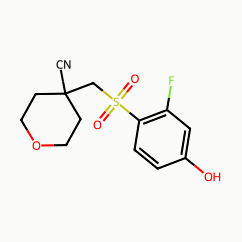 N#CC1(CS(=O)(=O)c2ccc(O)cc2F)CCOCC1